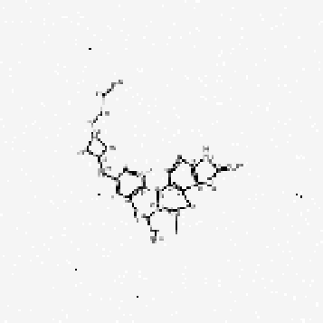 C[C@@H]1Cc2c(ccc3[nH]c(=O)oc23)[C@@H](c2ncc(NC3CN(CCCF)C3)cc2F)N1CC(F)(F)F